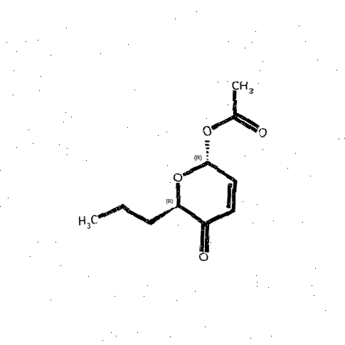 CCC[C@H]1O[C@H](OC(C)=O)C=CC1=O